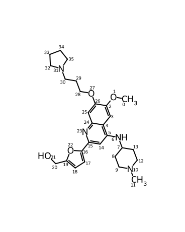 COc1cc2c(NC3CCN(C)CC3)cc(-c3ccc(CO)o3)nc2cc1OCCCN1CCCC1